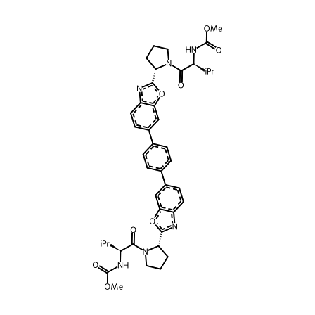 COC(=O)N[C@H](C(=O)N1CCC[C@H]1c1nc2ccc(-c3ccc(-c4ccc5nc([C@@H]6CCCN6C(=O)[C@@H](NC(=O)OC)C(C)C)oc5c4)cc3)cc2o1)C(C)C